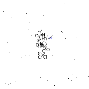 C/C=C/C(C)(C)CN(C)[C@H](C(=O)N[C@@H](C)C(=O)N1CCC[C@@H](C(=O)OCC(Cl)(Cl)Cl)N1)C(C)C